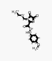 CCOCn1c(C(=O)ONc2ccc(OC)cc2)nc(Cl)c1Cl